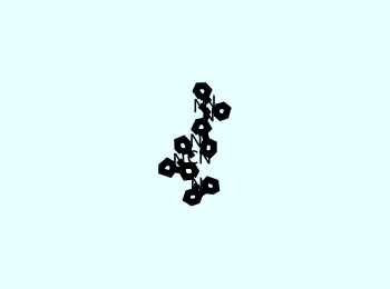 N#Cc1c(-n2c3ccccc3c3cc(-n4c5ccccc5c5ccccc54)ccc32)cccc1-n1c2ccccc2c2cc(-n3c4ccccc4n4c5ccccc5nc34)ccc21